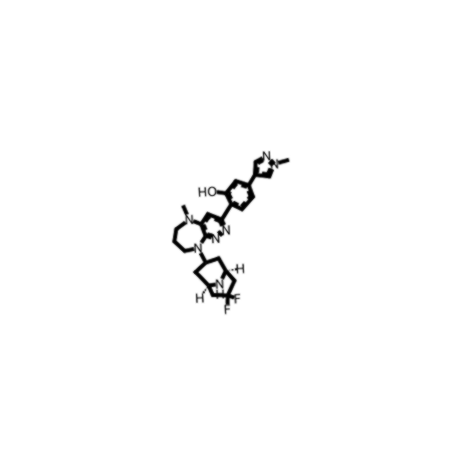 CN1CCCN(C2C[C@@H]3CC(F)(F)C[C@H](C2)N3)c2nnc(-c3ccc(-c4cnn(C)c4)cc3O)cc21